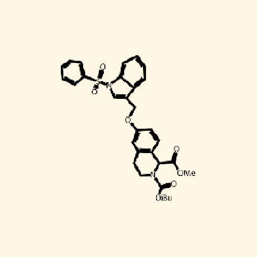 COC(=O)C1c2ccc(OCc3cn(S(=O)(=O)c4ccccc4)c4ccccc34)cc2CCN1C(=O)OCC(C)C